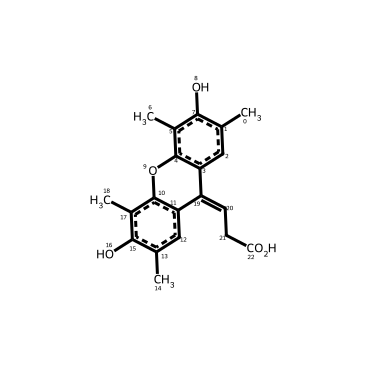 Cc1cc2c(c(C)c1O)Oc1c(cc(C)c(O)c1C)C2=CCC(=O)O